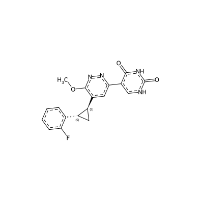 COc1nnc(-c2c[nH]c(=O)[nH]c2=O)cc1[C@H]1C[C@@H]1c1ccccc1F